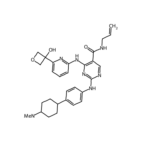 C=CCNC(=O)c1cnc(Nc2ccc(C3CCC(NC)CC3)cc2)nc1Nc1cccc(C2(O)COC2)n1